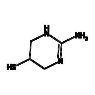 NC1=NCC(S)CN1